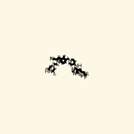 Cc1c(CN2CCC(Nc3ncnc4sc(CC(F)(F)F)cc34)CC2)ccc2c1cc(C#N)n2CCN1C[C@@H](C)N[C@H](C)C1